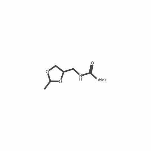 CCCCCCC(=O)NCC1COC(C)O1